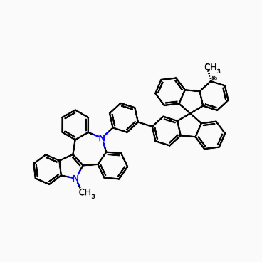 C[C@@H]1C=CC=C2C1c1ccccc1C21c2ccccc2-c2ccc(-c3cccc(N4c5ccccc5-c5c(n(C)c6ccccc56)-c5ccccc54)c3)cc21